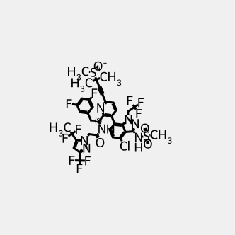 C[S+]([O-])C(C)(C)C#Cc1ccc(-c2ccc(Cl)c3c(NS(C)(=O)=O)nn(CC(F)(F)F)c23)c([C@H](Cc2cc(F)cc(F)c2)NC(=O)Cn2nc(C(F)(F)F)cc2C(C)(F)F)n1